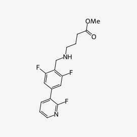 COC(=O)CCCNCc1c(F)cc(-c2cccnc2F)cc1F